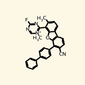 Cc1ccc2c(oc3c(-c4ccc(-c5ccccc5)cc4)c(C#N)ccc32)c1-c1nc(F)nc[n+]1C